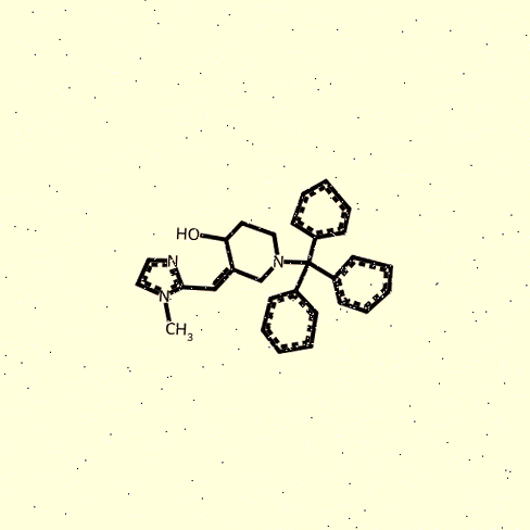 Cn1ccnc1C=C1CN(C(c2ccccc2)(c2ccccc2)c2ccccc2)CCC1O